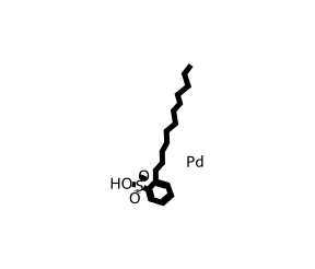 CCCCCCCCCCCCc1ccccc1S(=O)(=O)O.[Pd]